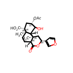 CC(=O)O[C@H]1C[C@@H](C(=O)O)[C@]2(C)CC[C@H]3C(=O)O[C@@H](c4ccoc4)C[C@]3(C)[C@H]2C1O